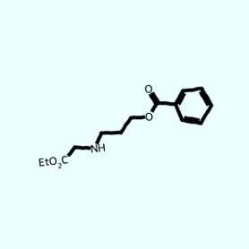 CCOC(=O)CNCCCOC(=O)c1ccccc1